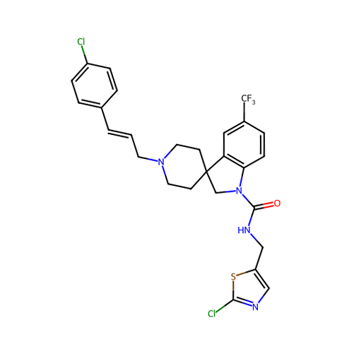 O=C(NCc1cnc(Cl)s1)N1CC2(CCN(C/C=C/c3ccc(Cl)cc3)CC2)c2cc(C(F)(F)F)ccc21